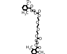 Cc1cccc(C)c1C(=O)OOOC(=O)OCCOCCOCCOC(=O)OOOC(=O)c1c(C)cccc1C